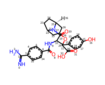 N=C(N)c1ccc(C(=O)NC(Cc2ccc(O)cc2)C(=O)N2C3CC[C@H]2CC(OCC(=O)O)C3)cc1